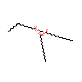 CCCCCC/C=C\CCCCCCCC(=O)OC[C@@H](COC(=O)CCCCCCCCCCCCCC)OC(=O)CCCCCCCCCCCCCCC